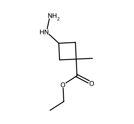 CCOC(=O)C1(C)CC(NN)C1